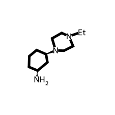 CCN1CCN([C@@H]2CCC[C@@H](N)C2)CC1